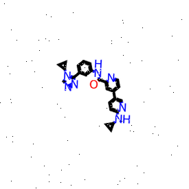 O=C(Nc1cccc(-c2nncn2C2CC2)c1)c1cc(-c2ccc(NC3CC3)nc2)ccn1